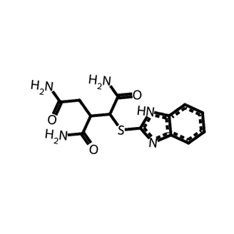 NC(=O)CC(C(N)=O)C(Sc1nc2ccccc2[nH]1)C(N)=O